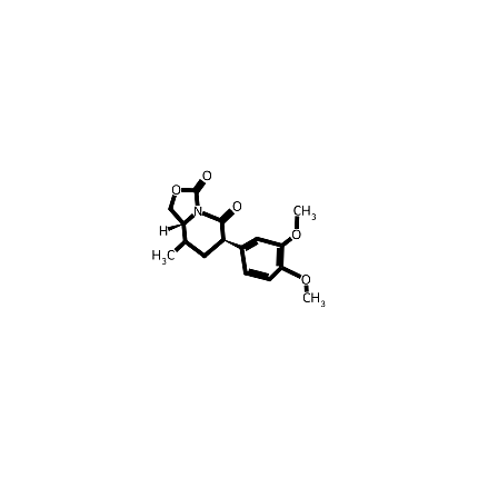 COc1ccc([C@H]2CC(C)[C@@H]3COC(=O)N3C2=O)cc1OC